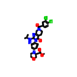 COC(=O)C1COCCN1c1ccc(-n2c(NC(C)C)nc3c(c2=O)CCN(C(=O)c2ccc(Cl)c(Cl)c2)C3)cc1